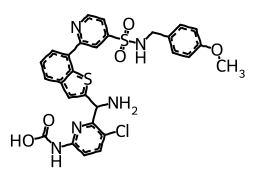 COc1ccc(CNS(=O)(=O)c2ccnc(-c3cccc4cc(C(N)c5nc(NC(=O)O)ccc5Cl)sc34)c2)cc1